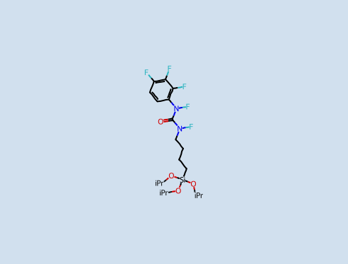 CC(C)O[Si](CCCCN(F)C(=O)N(F)c1ccc(F)c(F)c1F)(OC(C)C)OC(C)C